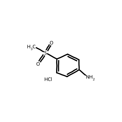 CS(=O)(=O)c1ccc(N)cc1.Cl